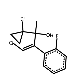 CC(O)(C(=CCl)c1ccccc1F)C1(Cl)CC1